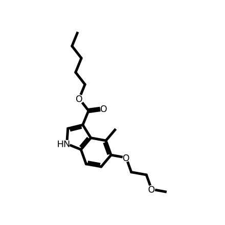 CCCCCOC(=O)c1c[nH]c2ccc(OCCOC)c(C)c12